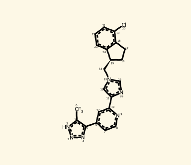 FC(F)(F)c1[nH]nnc1-c1ccnc(-c2cn(C[C@@H]3CCc4c(Cl)cccc43)cn2)c1